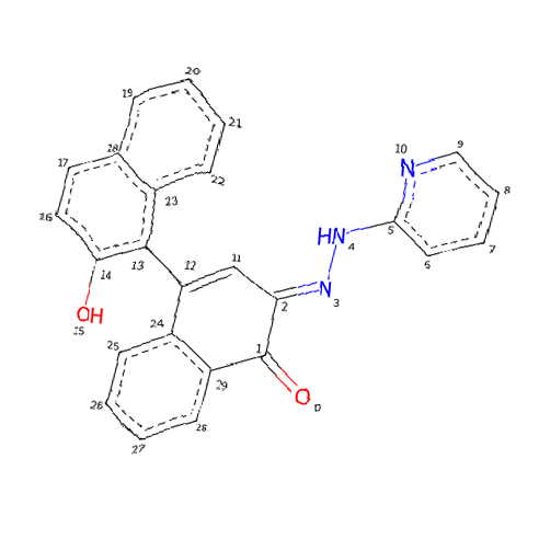 O=C1/C(=N/Nc2ccccn2)C=C(c2c(O)ccc3ccccc23)c2ccccc21